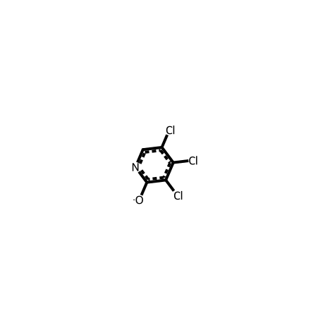 [O]c1ncc(Cl)c(Cl)c1Cl